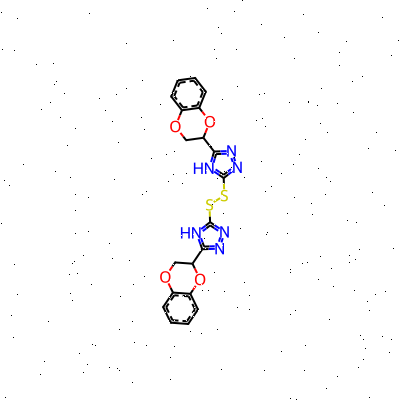 c1ccc2c(c1)OCC(c1nnc(SSc3nnc(C4COc5ccccc5O4)[nH]3)[nH]1)O2